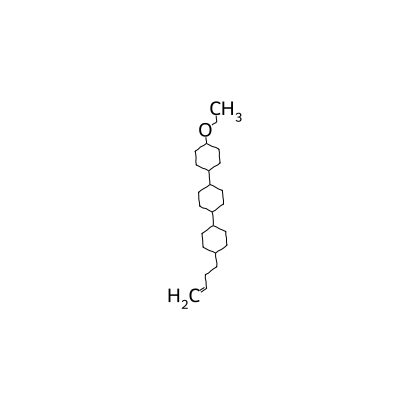 C=CCCC1CCC(C2CCC(C3CCC(OCC)CC3)CC2)CC1